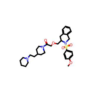 COc1ccc(S(=O)(=O)N2Cc3ccccc3CC2COCC(=O)N2CCC(CCN3CCCCC3)CC2)cc1